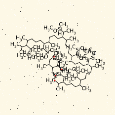 CCC(C)C(CCCC(C)C(CCCC(C)C(CCCC(C)C(CCCC(C)C(CCCC(C)C(CCCC(C)C(CCCC(C)C(C(C)C)C(C)[SiH](C)OC)C(C)[SiH](C)OC)C(C)[SiH](C)OC)C(C)[SiH](C)OC)C(C)[SiH](C)OC)C(C)[SiH](C)OC)C(C)[SiH](C)OC)C(C)[SiH](C)OC